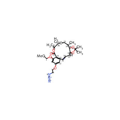 COCOc1cc(OCCN=[N+]=[N-])cc2c1C(=O)O[C@@H](C)[C@H](C)CC[C@H](C)C1OC(C)(C)O[C@H]1C/C=C/2